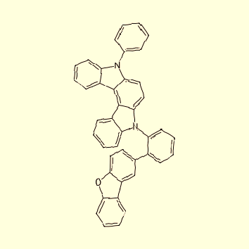 c1ccc(-n2c3ccccc3c3c4c5ccccc5n(-c5ccccc5-c5ccc6oc7ccccc7c6c5)c4ccc32)cc1